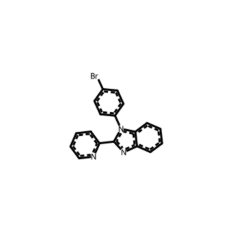 Brc1ccc(-n2c(-c3ccccn3)nc3ccccc32)cc1